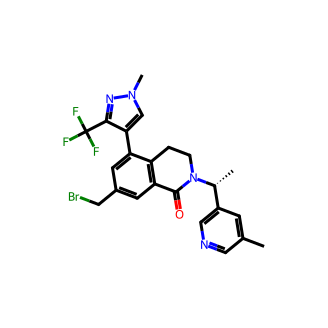 Cc1cncc([C@@H](C)N2CCc3c(cc(CBr)cc3-c3cn(C)nc3C(F)(F)F)C2=O)c1